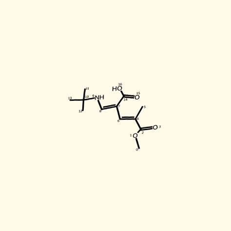 COC(=O)C(C)=CC(=CNC(C)(C)C)C(=O)O